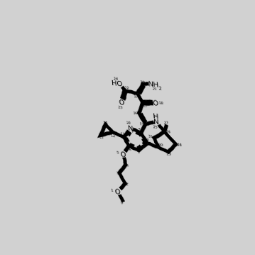 COCCCOc1cc2c(nc1C1CC1)/C(=C/C(=O)/C(=C\N)C(=O)O)NC1(C)CCC2C1